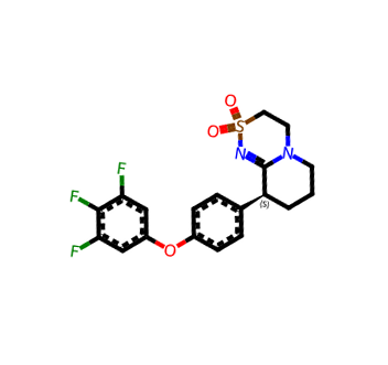 O=S1(=O)CCN2CCC[C@@H](c3ccc(Oc4cc(F)c(F)c(F)c4)cc3)C2=N1